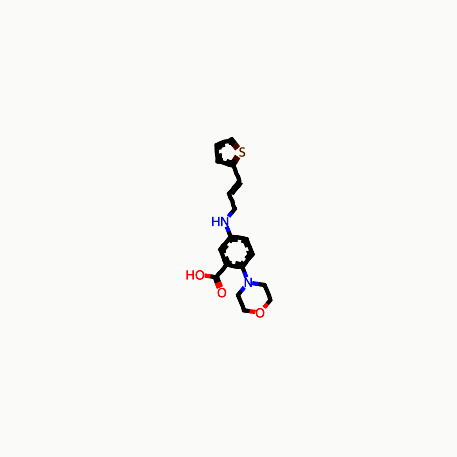 O=C(O)c1cc(NC/C=C/c2cccs2)ccc1N1CCOCC1